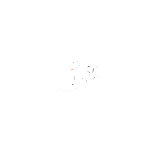 CCCCCCC(C)(CC)OC(C(C)COP(=O)(O)OC(C)(CC)CCC)C(O)C(C)n1cnc2c(N)ncnc21